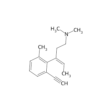 C#Cc1cccc(C)c1/C(=C\C)CCN(C)C